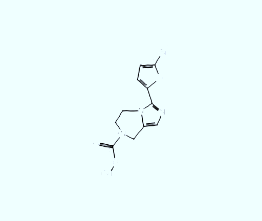 CC(C)(C)OC(=O)N1CCn2c(cnc2-c2ccc(Br)o2)C1